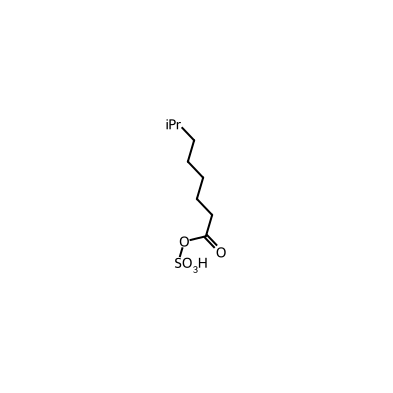 CC(C)CCCCCC(=O)OS(=O)(=O)O